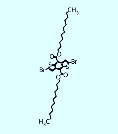 CCCCCCCCCCCCOC(=O)c1c2cc(Br)sc2c(C(=O)OCCCCCCCCCCCC)c2cc(Br)sc12